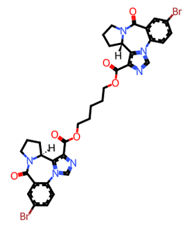 O=C(OCCCCCOC(=O)c1ncn2c1[C@@H]1CCCN1C(=O)c1cc(Br)ccc1-2)c1ncn2c1[C@@H]1CCCN1C(=O)c1cc(Br)ccc1-2